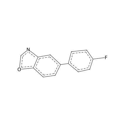 Fc1ccc(-c2ccc3ocnc3c2)cc1